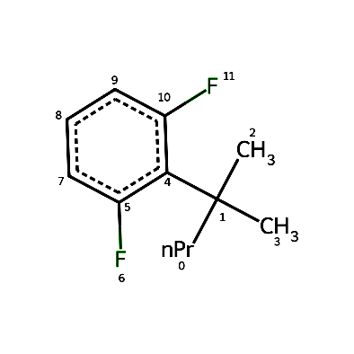 CCCC(C)(C)c1c(F)cccc1F